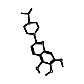 COc1cc2nc(N3CCN(C(C)C)CC3)ccc2c(OC)c1OC